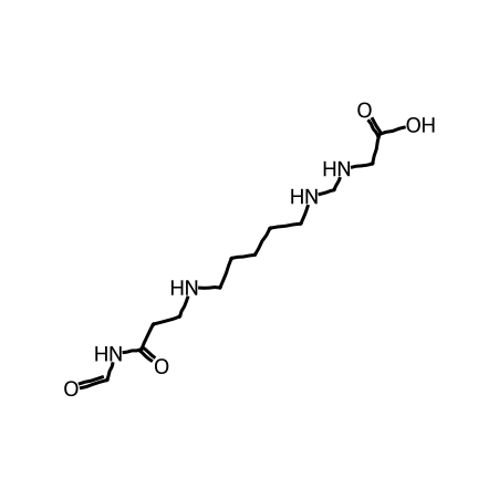 O=CNC(=O)CCNCCCCCNCNCC(=O)O